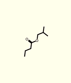 CCCC(=O)OCC(C)C